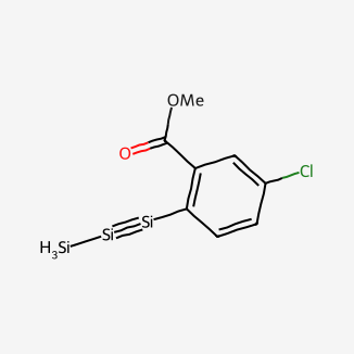 COC(=O)c1cc(Cl)ccc1[Si]#[Si][SiH3]